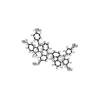 CC(C)(C)c1ccc(N2C3=C(B4c5cc(C(C)(C)C)ccc5N(c5ccc(N(c6ccc(C(C)(C)C)cc6)c6ccc(C(C)(C)C)cc6)c6c5oc5ccccc56)c5cccc2c54)C(C)(C)c2ccc(C(C)(C)C)cc23)cc1